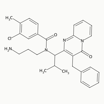 Cc1ccc(C(=O)N(CCCN)C(c2nc3ccccn3c(=O)c2Cc2ccccc2)C(C)C)cc1Cl